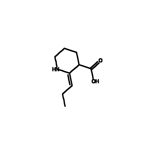 CCC=C1NCCCC1C(=O)O